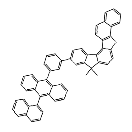 CC1(C)c2cc(-c3cccc(-c4c5ccccc5c(-c5cccc6ccccc56)c5ccccc45)c3)ccc2-c2c1ccc1sc3c4ccccc4ccc3c21